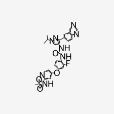 CC(C)n1cc(NC(=O)Nc2ccc(Oc3ccnc(NS(C)(=O)=O)c3)cc2F)c(-c2ccc3ncncc3c2)n1